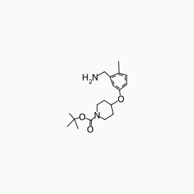 Cc1ccc(OC2CCN(C(=O)OC(C)(C)C)CC2)cc1CN